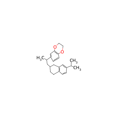 CC(C)c1ccc2c(c1)CC(CC(C)c1ccc3c(c1)OCCO3)CC2